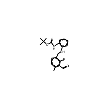 Cc1ccc(CNc2ccccc2NC(=O)OC(C)(C)C)c(F)c1C=O